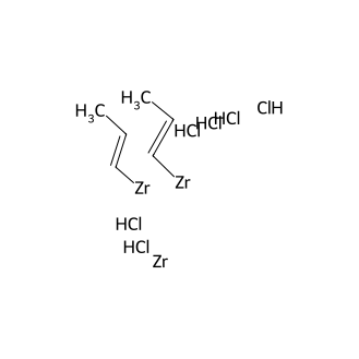 CC=[CH][Zr].CC=[CH][Zr].Cl.Cl.Cl.Cl.Cl.Cl.[Zr]